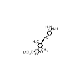 CCOC(=O)CCN(C(=O)C(C)C)c1cc(C)c(C#CCOc2ccc(C(=N)N)cc2)cc1C